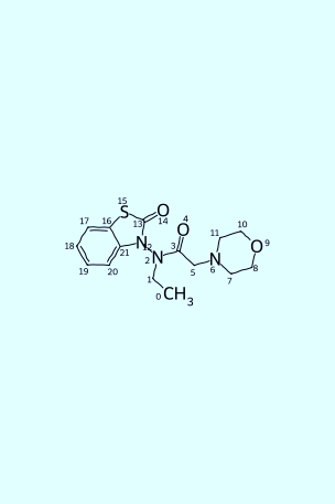 CCN(C(=O)CN1CCOCC1)n1c(=O)sc2ccccc21